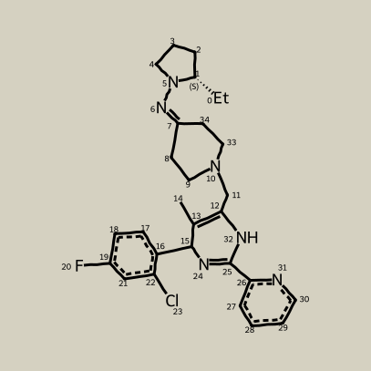 CC[C@H]1CCCN1N=C1CCN(CC2=C(C)C(c3ccc(F)cc3Cl)N=C(c3ccccn3)N2)CC1